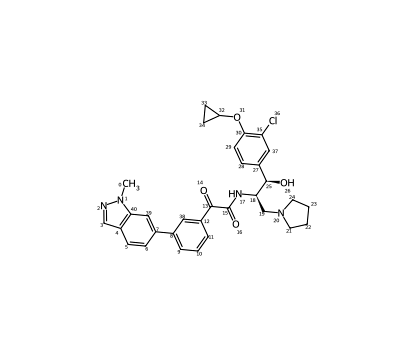 Cn1ncc2ccc(-c3cccc(C(=O)C(=O)N[C@H](CN4CCCC4)[C@H](O)c4ccc(OC5CC5)c(Cl)c4)c3)cc21